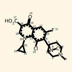 CN1CC2CCC1CN2c1c(F)cc2c(=O)c(C(=O)O)cn(C3CC3)c2c1Cl